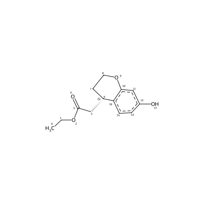 CCOC(=O)C[C@@H]1CCOc2cc(O)ccc21